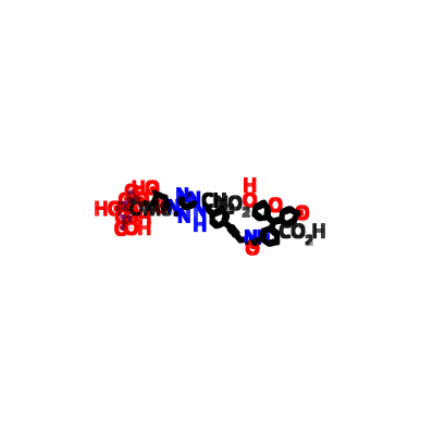 COP(=O)(OC[C@H]1O[C@@H](n2cnc3c(NC(C)c4ccc(C#CCNC(=O)c5ccc(C(=O)O)c(-c6c7ccc(=O)cc-7oc7cc(O)ccc67)c5)cc4[N+](=O)[O-])ncnc32)CC1O)OP(=O)(O)OP(=O)(O)O